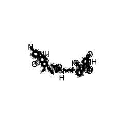 CCc1cc2c(cc1N1CC(C)N(CC(=O)NCCCCNc3cccc4c(=C=O)n(C5CCC(=C=O)NC5=C=O)c(=C=O)c34)C(C)C1)C(C)(C)c1[nH]c3cc(C#N)ccc3c1C2=C=O